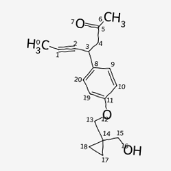 CC#CC(CC(C)=O)c1ccc(OCC2(CO)CC2)cc1